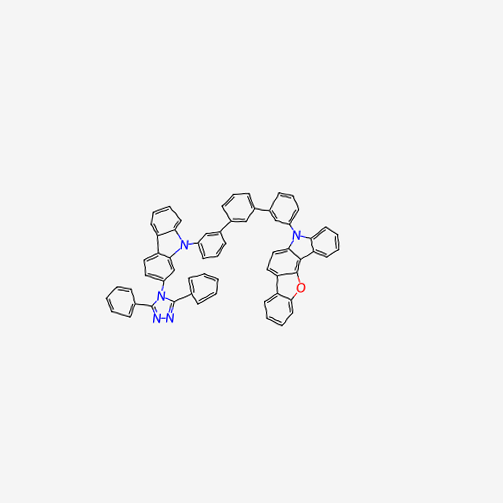 c1ccc(-c2nnc(-c3ccccc3)n2-c2ccc3c4ccccc4n(-c4cccc(-c5cccc(-c6cccc(-n7c8ccccc8c8c9oc%10ccccc%10c9ccc87)c6)c5)c4)c3c2)cc1